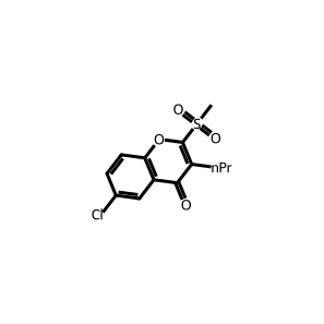 CCCc1c(S(C)(=O)=O)oc2ccc(Cl)cc2c1=O